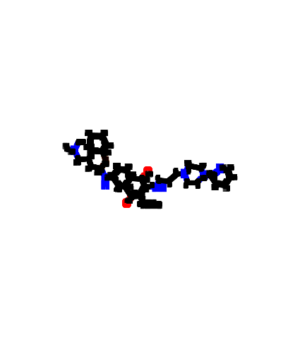 CNC1=C(NCCCN2CCN(c3ccccn3)CC2)C(=O)c2ccc(NC(CCCN(C)C)Sc3ccccc3)cc2C1=O